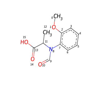 COc1ccccc1N(C=O)C(C)C(=O)O